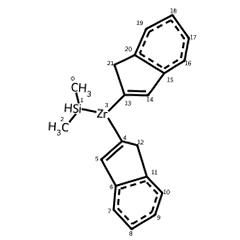 C[SiH](C)[Zr]([C]1=Cc2ccccc2C1)[C]1=Cc2ccccc2C1